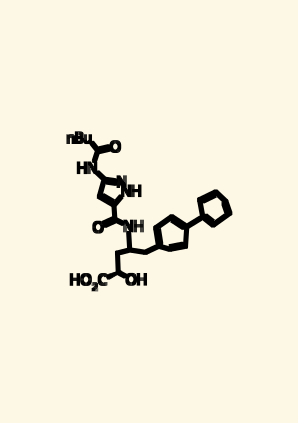 CCCCC(=O)Nc1cc(C(=O)NC(Cc2ccc(-c3ccccc3)cc2)C[C@@H](O)C(=O)O)[nH]n1